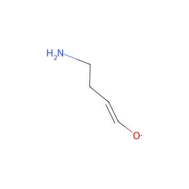 NCC/C=C/[O]